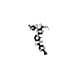 C[C@@H]1[C@H](NC(=O)c2cnc(C3CC3)nc2)CCCN1c1cnc(C(N)=O)c(Nc2cnn(C)c2)n1